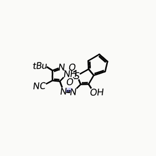 CC(C)(C)c1n[nH]c(/N=N\C2=C(O)c3ccccc3S2(=O)=O)c1C#N